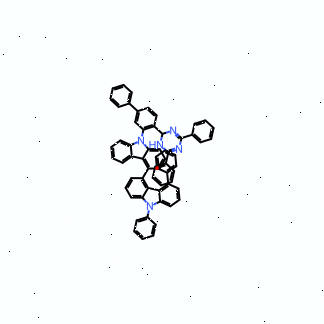 c1ccc(C2=NC(c3ccc(-c4ccccc4)cc3-n3c4ccccc4c4c(-c5cccc6c5c5c(-c7ccccc7)cccc5n6-c5ccccc5)cccc43)NC(c3ccccc3)=N2)cc1